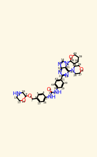 O=C(Nc1ccc(COC2CNCCO2)cc1)Nc1ccc(-c2nc(N3CCOCC3)c3c(ncn3C3CCCCO3)n2)cc1